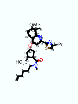 C=CCCCCN(C)C(=O)C1C[C@H](Oc2cc(-c3nc(C(C)C)cs3)nc3c(C)c(OC)ccc23)CC1C(=O)O